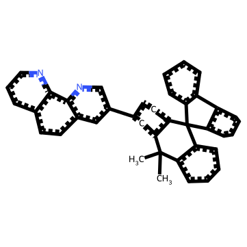 CC1(C)c2ccccc2C2(c3ccccc3-c3ccccc32)c2ccc(-c3cnc4c(ccc5cccnc54)c3)cc21